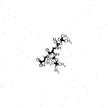 CC(C)(C)OC(=O)NCC(NC(=O)OC(C)(C)C)C(=O)NCCC(=O)O